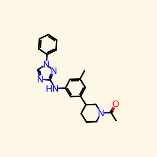 CC(=O)N1CCCC(c2cc(C)cc(Nc3ncn(-c4ccccc4)n3)c2)C1